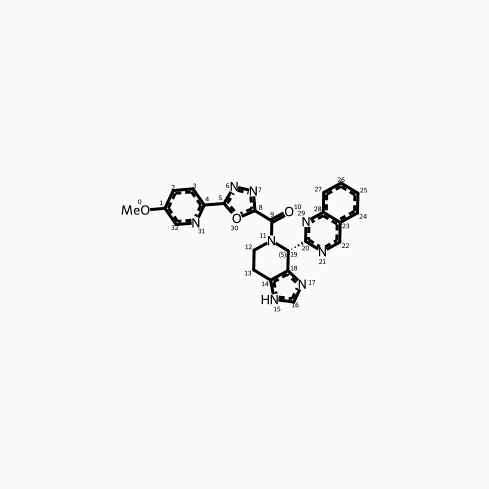 COc1ccc(-c2nnc(C(=O)N3CCc4[nH]cnc4[C@H]3c3ncc4ccccc4n3)o2)nc1